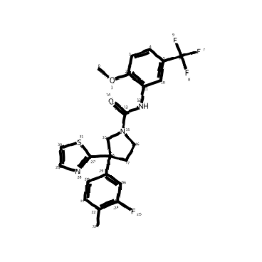 COc1ccc(C(F)(F)F)cc1NC(=O)N1CCC(c2ccc(C)c(F)c2)(c2nccs2)C1